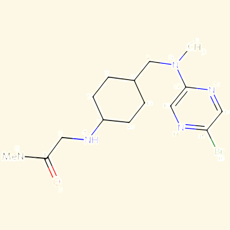 CNC(=O)CNC1CCC(CN(C)c2cnc(Br)cn2)CC1